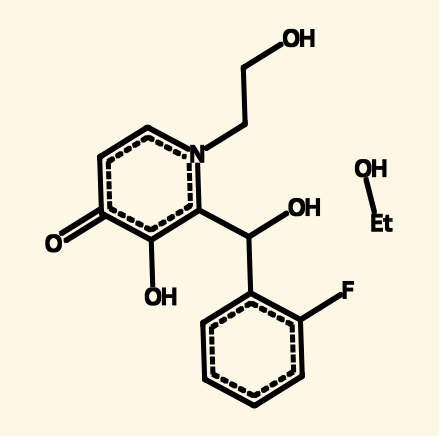 CCO.O=c1ccn(CCO)c(C(O)c2ccccc2F)c1O